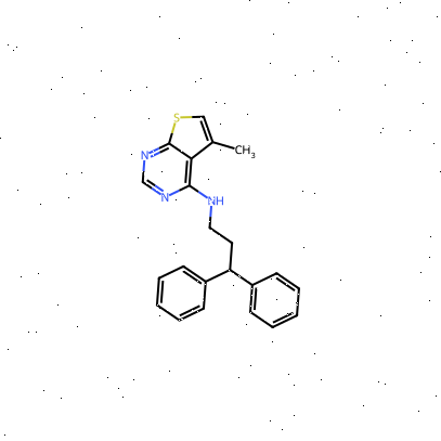 Cc1csc2ncnc(NCCC(c3ccccc3)c3ccccc3)c12